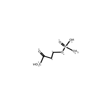 CP(=O)(O)OCCC(=O)C(=O)O